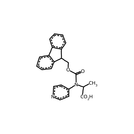 CC(C(=O)O)N(C(=O)OCC1c2ccccc2-c2ccccc21)c1ccncc1